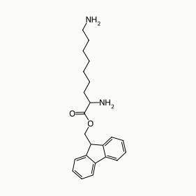 NCCCCCCCC(N)C(=O)OCC1c2ccccc2-c2ccccc21